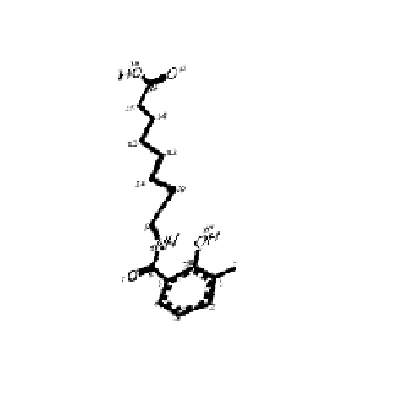 Cc1cccc(C(=O)NCCCCCCCC(=O)O)c1O